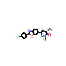 CCC[C@H]1C(=O)NN=C(c2ccc3nc(-c4ccc(F)cc4)oc3c2)[C@@H]1C